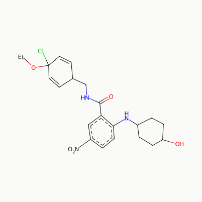 CCOC1(Cl)C=CC(CNC(=O)c2cc([N+](=O)[O-])ccc2NC2CCC(O)CC2)C=C1